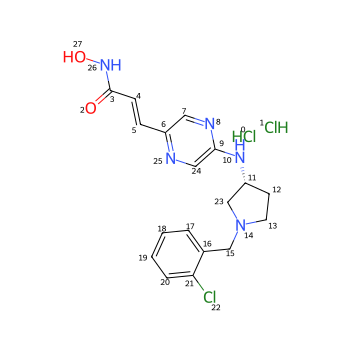 Cl.Cl.O=C(/C=C/c1cnc(N[C@@H]2CCN(Cc3ccccc3Cl)C2)cn1)NO